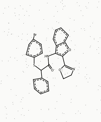 O=C(Nc1c(C2=NCCO2)oc2ccccc12)C(Sc1ccc(Br)cc1)c1ccccc1